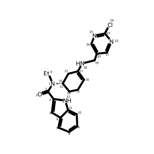 CCN(C(=O)c1cc2ccccc2[nH]1)[C@H]1CCC=C(NCc2cnc(Cl)nc2)C1